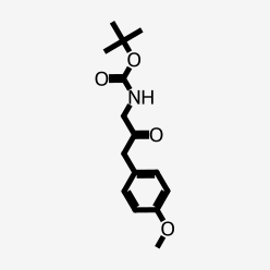 COc1ccc(CC(=O)CNC(=O)OC(C)(C)C)cc1